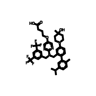 Cc1ccc(C(C)C)cc1-c1ccc(N2CCC(C)(O)CC2)cc1CN(Cc1cc(C(F)(F)F)cc(C(F)(F)F)c1)c1ncc(OCCCC(=O)O)cn1